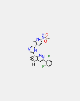 Cc1nc(NS(C)(=O)=O)ccc1-c1cncc([C@@]23CC[C@@H](c4cc(-c5c(F)cccc5F)nnc42)C3(C)C)n1